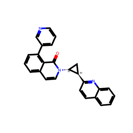 O=c1c2c(-c3cccnc3)cccc2ccn1[C@@H]1C[C@H]1c1ccc2ccccc2n1